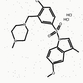 COc1ccc2c(c1)c(C)cn2S(=O)(=O)c1ccc(Cl)c(CN2CCN(C)CC2)c1.Cl.Cl